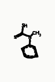 CN(C(=S)S)c1ccccc1